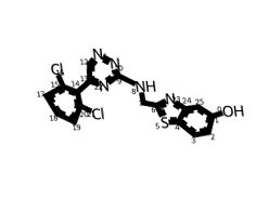 Oc1ccc2sc(CNc3nncc(-c4c(Cl)cccc4Cl)n3)nc2c1